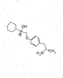 C[C@@H](N)Cc1ccc(OCP(=O)(O)C2CCCCC2)cc1